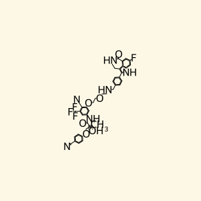 C[C@@](O)(COc1ccc(C#N)cc1)C(=O)Nc1cc(OCCOCCNCc2ccc(-c3[nH]c4cc(F)cc5c4c3CCNC5=O)cc2)c(C#N)c(C(F)(F)F)c1